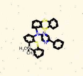 C[Si]1(C)c2ccccc2Sc2c(N(c3cnc(-c4ccccc4)cn3)c3cccc4c3Sc3ccccc3S4)cccc21